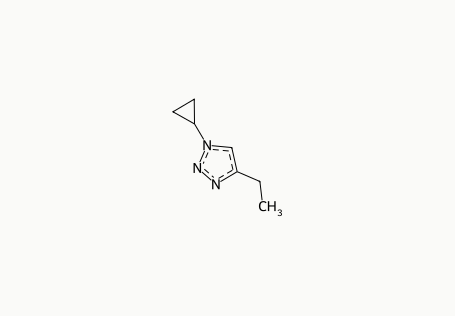 CCc1cn(C2CC2)nn1